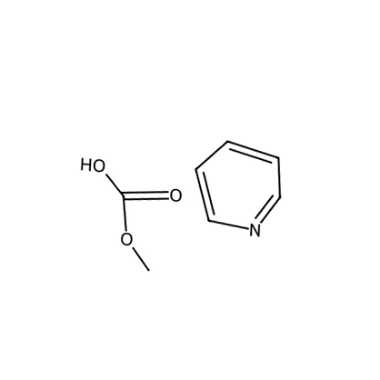 COC(=O)O.c1ccncc1